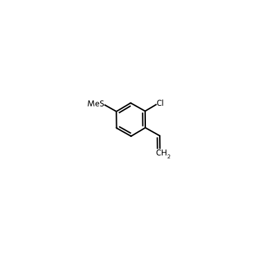 C=Cc1ccc(SC)cc1Cl